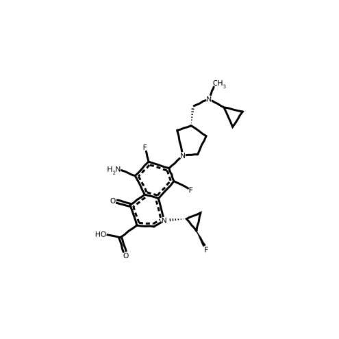 CN(C[C@@H]1CCN(c2c(F)c(N)c3c(=O)c(C(=O)O)cn([C@@H]4C[C@H]4F)c3c2F)C1)C1CC1